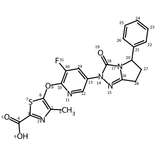 Cc1nc(C(=O)O)sc1Oc1ncc(-n2nc3n(c2=O)C(c2ccccc2)CC3)cc1F